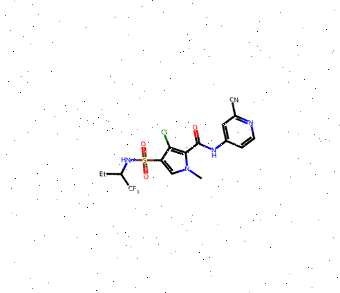 CCC(NS(=O)(=O)c1cn(C)c(C(=O)Nc2ccnc(C#N)c2)c1Cl)C(F)(F)F